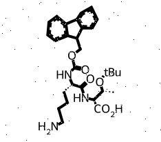 C[C@@H](OC(C)(C)C)[C@H](NC(=O)[C@H](CCCCN)NC(=O)OCC1c2ccccc2-c2ccccc21)C(=O)O